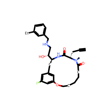 C#CC[C@H]1C(=O)N[C@H]([C@H](O)CNCc2cccc(CC)c2)Cc2cc(F)cc(c2)OCCCCCC(=O)N1C